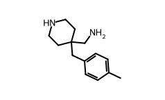 Cc1ccc(CC2(CN)CCNCC2)cc1